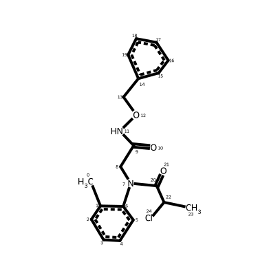 Cc1ccccc1N(CC(=O)NOCc1ccccc1)C(=O)C(C)Cl